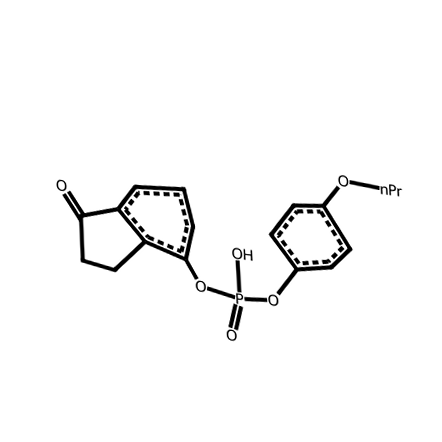 CCCOc1ccc(OP(=O)(O)Oc2cccc3c2CCC3=O)cc1